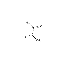 C[C@@H](O)[14C](=O)O